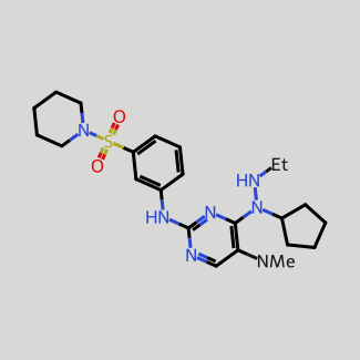 CCNN(c1nc(Nc2cccc(S(=O)(=O)N3CCCCC3)c2)ncc1NC)C1CCCC1